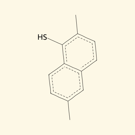 Cc1ccc2c(S)c(C)ccc2c1